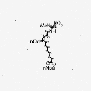 CCCCCCCCCOC(=O)CCCCCCCN(CCCCCCCC)CCCN/C(=N/[N+](=O)[O-])NC